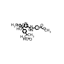 COCC(=O)N1CCC(c2noc(-c3cncc([C@@](O)(c4ccc(C(C)C)cc4)C4(C)CN(C)C4)c3)n2)CC1.O=CO